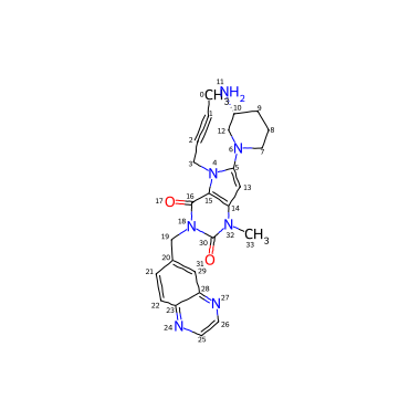 CC#CCn1c(N2CCC[C@@H](N)C2)cc2c1c(=O)n(Cc1ccc3nccnc3c1)c(=O)n2C